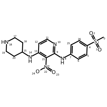 CS(=O)(=O)c1ccc(Nc2nccc(NC3CCNCC3)c2[N+](=O)[O-])cc1